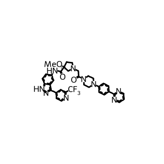 CO[C@@]1(C(=O)Nc2ccc3[nH]nc(-c4ccnc(C(F)(F)F)c4)c3c2)CCN(CC(=O)N2CCN(c3ccc(-c4ncccn4)cc3)CC2)C1